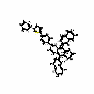 c1ccc(-c2ccc(-c3ccc(-c4ccc5c(-c6ccc7ccccc7c6)c6ccccc6c(-c6ccc7ccccc7c6)c5c4)cc3)s2)cc1